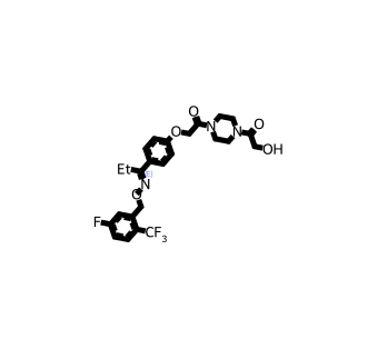 CC/C(=N\OCc1cc(F)ccc1C(F)(F)F)c1ccc(OCC(=O)N2CCN(C(=O)CO)CC2)cc1